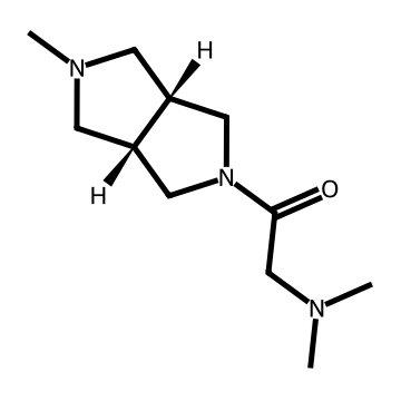 CN(C)CC(=O)N1C[C@H]2CN(C)C[C@H]2C1